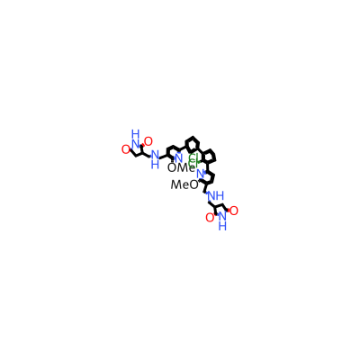 COc1nc(-c2cccc(-c3cccc(-c4ccc(CNCC5CC(=O)NC5=O)c(OC)n4)c3Cl)c2Cl)ccc1CNCC1CC(=O)NC1=O